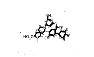 Nc1nc(O[C@H](c2ccc(Cl)cc2-c2cc(F)c(F)c(F)c2)C(F)(F)F)cc(N2CCC3(CC2)CN[C@H](C(=O)O)C3)n1